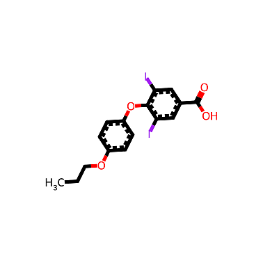 CCCOc1ccc(Oc2c(I)cc(C(=O)O)cc2I)cc1